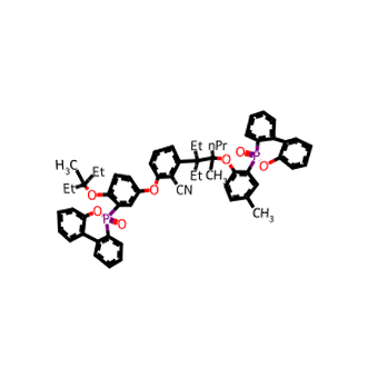 CCCC(C)(Oc1ccc(C)cc1P1(=O)Oc2ccccc2-c2ccccc21)C(CC)(CC)c1cccc(Oc2ccc(OC(C)(CC)CC)c(P3(=O)Oc4ccccc4-c4ccccc43)c2)c1C#N